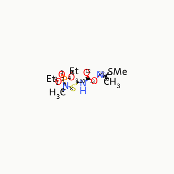 CCOP(=O)(OCC)N(C)SCNC(=O)O/N=C(\C)SC